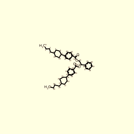 CCCCC1CCC(c2ccc(C(=O)OCC(OC(=O)c3ccc(C4CCC(CCCC)CC4)cc3)c3ccccc3)cc2)CC1